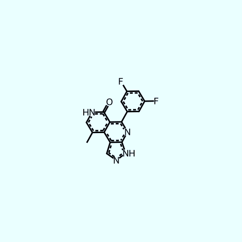 Cc1c[nH]c(=O)c2c(-c3cc(F)cc(F)c3)nc3[nH]ncc3c12